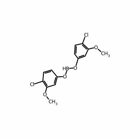 COc1cc(OBOc2ccc(Cl)c(OC)c2)ccc1Cl